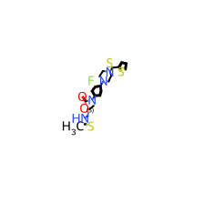 CC(=S)NC[C@H]1CN(c2ccc(N3CCN(C(=S)c4cccs4)CC3)c(F)c2)C(=O)O1